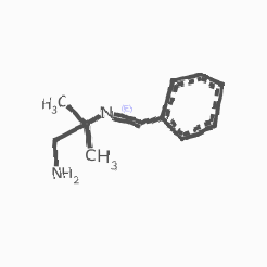 CC(C)(CN)/N=C/c1ccccc1